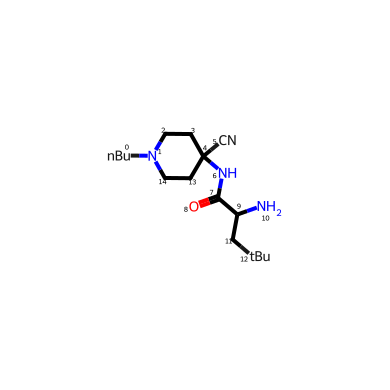 CCCCN1CCC(C#N)(NC(=O)C(N)CC(C)(C)C)CC1